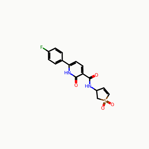 O=C(NC1C=CS(=O)(=O)C1)c1ccc(-c2ccc(F)cc2)[nH]c1=O